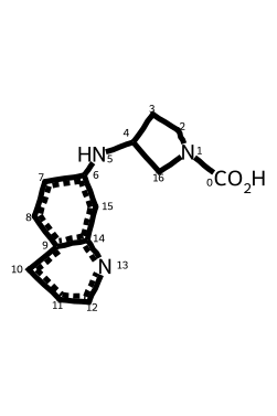 O=C(O)N1CCC(Nc2ccc3cccnc3c2)C1